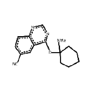 CNC1(Oc2ncnc3ccc(C#N)cc23)CCCCC1